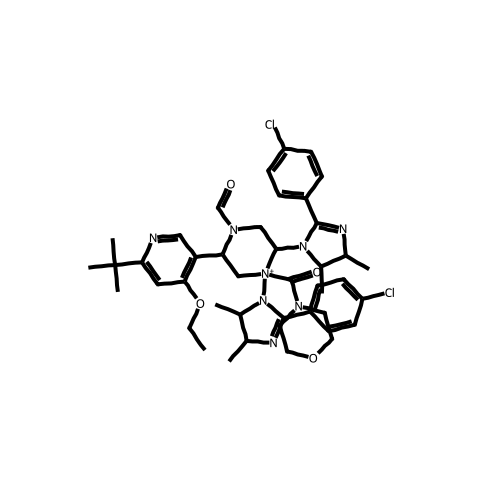 CCOc1cc(C(C)(C)C)ncc1C1C[N+](C(=O)N2CCOCC2)(N2C(c3ccc(Cl)cc3)=NC(C)C2C)C(N2C(c3ccc(Cl)cc3)=NC(C)C2C)CN1C=O